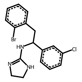 Clc1cccc(C(Cc2ccccc2Br)NC2=NCCN2)c1